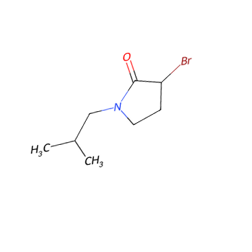 CC(C)CN1CCC(Br)C1=O